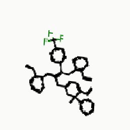 C=CC1=CC=C(CC(Cc2ccccc2C=C)=C(Cc2ccccc2C=C)c2ccc(C(F)(F)F)cc2)CC1(C)c1ccccc1